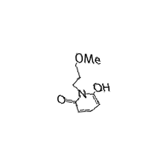 COCCCn1c(O)cccc1=O